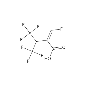 O=C(O)C(=CF)C(C(F)(F)F)C(F)(F)F